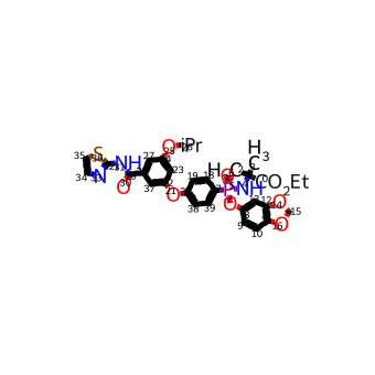 CCOC(=O)C(C)(C)NP(=O)(Oc1ccc2c(c1)OCO2)c1ccc(Oc2cc(OC(C)C)cc(C(=O)Nc3nccs3)c2)cc1